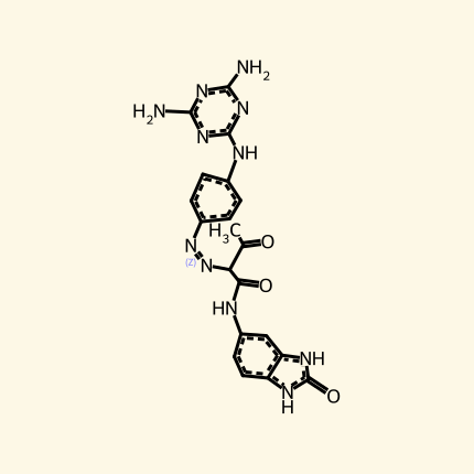 CC(=O)C(/N=N\c1ccc(Nc2nc(N)nc(N)n2)cc1)C(=O)Nc1ccc2[nH]c(=O)[nH]c2c1